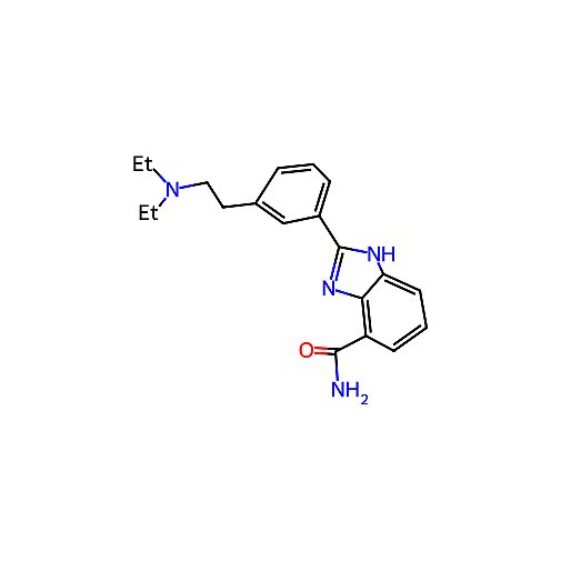 CCN(CC)CCc1cccc(-c2nc3c(C(N)=O)cccc3[nH]2)c1